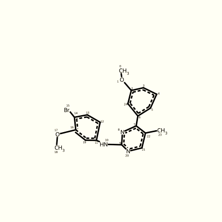 COc1cccc(-c2nc(Nc3ccc(Br)c(OC)c3)ncc2C)c1